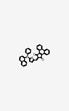 O=C1C(=Cc2ccc(N(c3ccccc3)c3cccc4ccccc34)s2)C(=O)c2c1c1ccccc1c1ccccc21